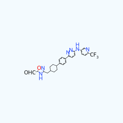 O=CC1NC(CC2CCC(c3ccc(-c4ccc(Nc5ccc(C(F)(F)F)nc5)nn4)cc3)CC2)=NO1